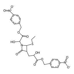 CCSC1C(CC(O)C(=O)OCc2ccc([N+](=O)[O-])cc2)C(=O)N1C(O)C(=O)OCc1ccc([N+](=O)[O-])cc1